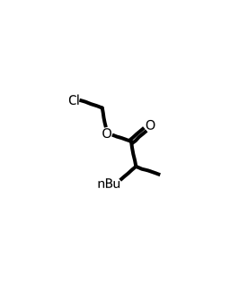 CCCCC(C)C(=O)OCCl